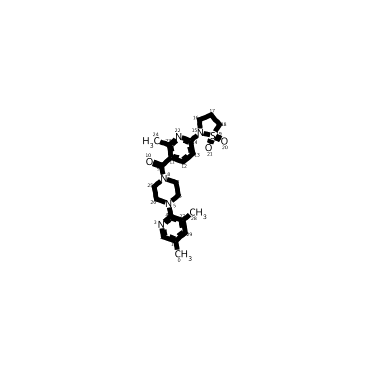 Cc1cnc(N2CCN(C(=O)c3ccc(N4CCCS4(=O)=O)nc3C)CC2)c(C)c1